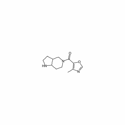 Cc1ncoc1C(=O)N1CCC2NCCC2C1